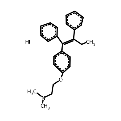 CCC(=C(c1ccccc1)c1ccc(OCCN(C)C)cc1)c1ccccc1.I